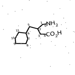 NCC(CC(=O)O)CC1CCCCC1